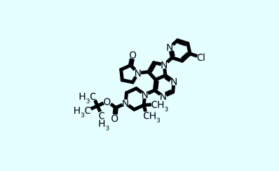 CC(C)(C)OC(=O)N1CCN(c2ncnc3c2c(N2CCCC2=O)cn3-c2cc(Cl)ccn2)C(C)(C)C1